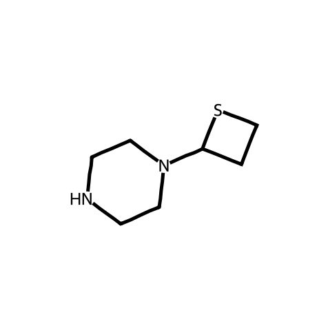 C1CN(C2CCS2)CCN1